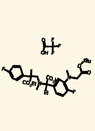 CCOC(=O)C(C)(CN(C)C(CC)(C(=O)O)c1ccc(F)c(N(C)CC(=O)OC(C)(C)C)c1)c1ccc(F)cc1.O=C(O)C(F)(F)F